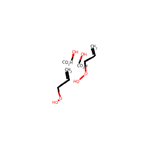 C=CCOO.C=CCOO.O=C(O)O.O=C(O)O